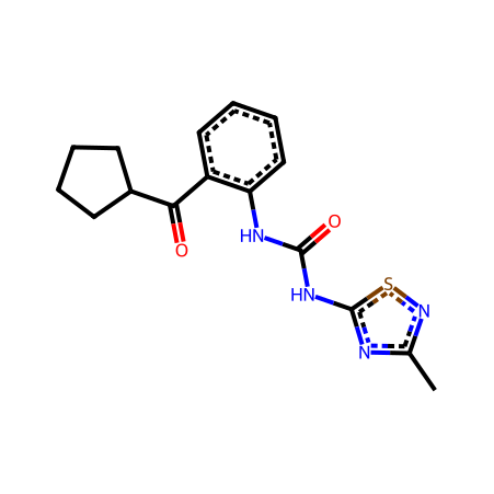 Cc1nsc(NC(=O)Nc2ccccc2C(=O)C2CCCC2)n1